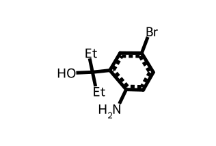 CCC(O)(CC)c1cc(Br)ccc1N